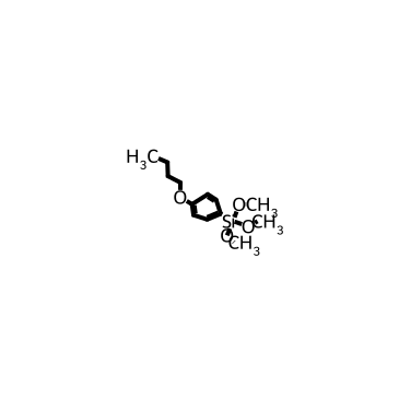 CCCCOc1ccc([Si](OC)(OC)OC)cc1